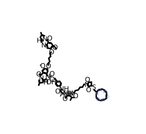 COc1cc2c(cc1OCCCCCOc1cc3c(cc1OC)C(=O)N1C=C(C)C[C@H]1[C@H](O)N3C(=O)OCc1ccc(NC(=O)[C@H](C)NC(=O)[C@@H](NC(=O)CCCCCN3C(=O)CC(SCC4=C/C=C\C=C/C=C\C=C/C=C\4)C3=O)C(C)C)cc1)N=C[C@@H]1CC(C)=CN1C2=O